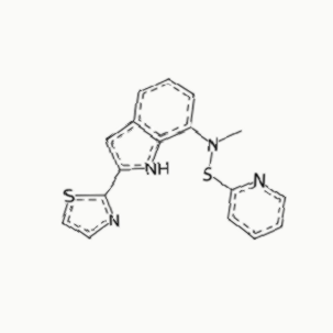 CN(Sc1ccccn1)c1cccc2cc(-c3nccs3)[nH]c12